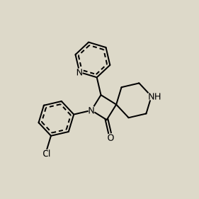 O=C1N(c2cccc(Cl)c2)C(c2ccccn2)C12CCNCC2